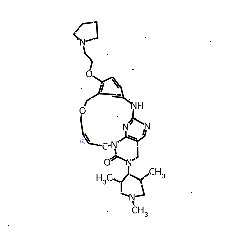 CC1CN(C)CC(C)C1N1Cc2cnc3nc2N(C/C=C\COCc2cc(ccc2OCCN2CCCC2)N3)C1=O